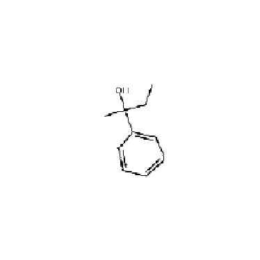 [CH2]C(O)(CC)c1ccccc1